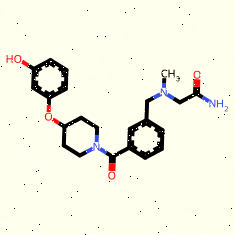 CN(CC(N)=O)Cc1cccc(C(=O)N2CCC(Oc3cccc(O)c3)CC2)c1